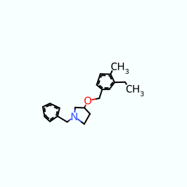 CCc1cc(COC2CCN(Cc3ccccc3)C2)ccc1C